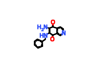 NC1=C(NCc2ccccc2)C(=O)c2cnccc2C1=O